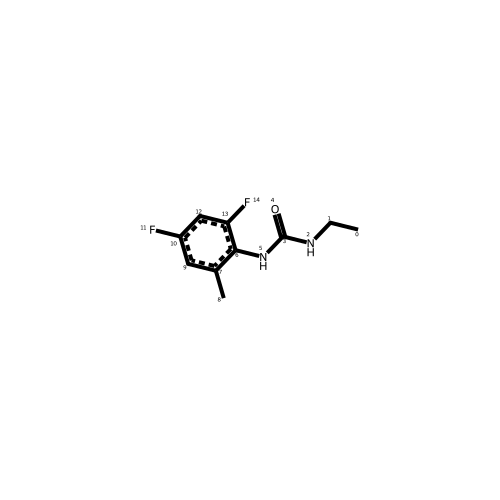 CCNC(=O)Nc1c(C)cc(F)cc1F